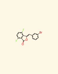 O=C1O/C(=C\c2cccc(Br)c2)c2c(F)ccc(F)c21